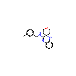 Cc1cccc(CNC2=Nc3ccccc3NC23CCOCC3)c1